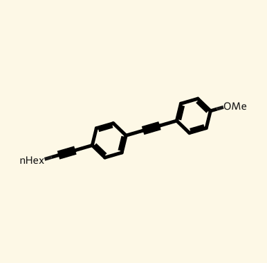 CCCCCCC#Cc1ccc(C#Cc2ccc(OC)cc2)cc1